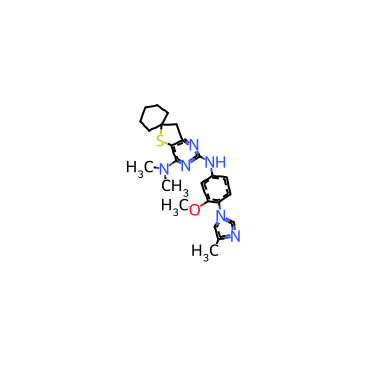 COc1cc(Nc2nc3c(c(N(C)C)n2)SC2(CCCCC2)C3)ccc1-n1cnc(C)c1